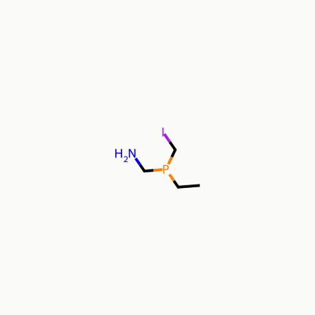 CCP(CN)CI